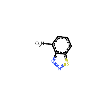 O=[N+]([O-])c1cccc2snnc12